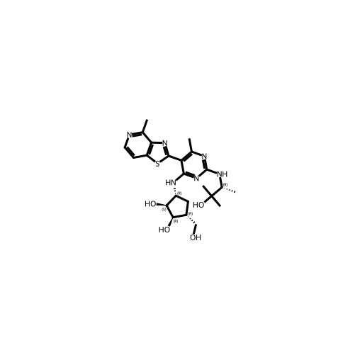 Cc1nc(N[C@H](C)C(C)(C)O)nc(N[C@@H]2C[C@H](CO)[C@@H](O)[C@H]2O)c1-c1nc2c(C)nccc2s1